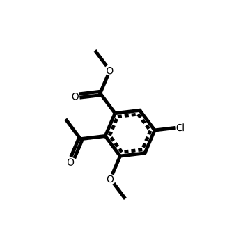 COC(=O)c1cc(Cl)cc(OC)c1C(C)=O